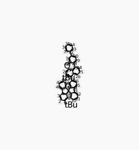 CC(C)(C)c1ccc2c(c1)C1(c3ccccc3-c3ccc(-c4ccc5c6c(cccc46)-c4ccc(-c6ccccc6)cc4O5)cc31)c1cc(C(C)(C)C)ccc1-2